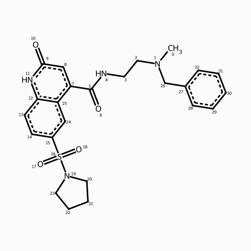 CN(CCNC(=O)c1cc(=O)[nH]c2ccc(S(=O)(=O)N3CCCC3)cc12)Cc1ccccc1